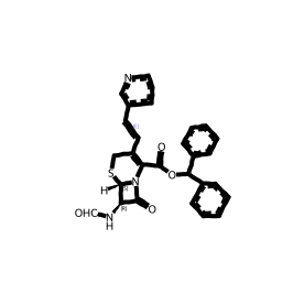 O=CN[C@@H]1C(=O)N2C(C(=O)OC(c3ccccc3)c3ccccc3)=C(/C=C/c3cccnc3)CS[C@@H]12